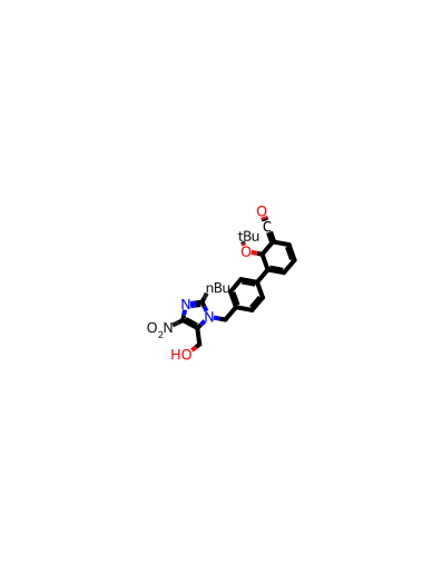 CCCCc1nc([N+](=O)[O-])c(CO)n1Cc1ccc(C2=CC=CC(=C=O)C2OC(C)(C)C)cc1